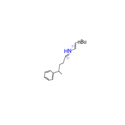 CCCC/C=C/N/C=C/CCC(C)c1ccccc1